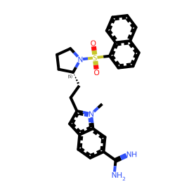 Cn1c(CC[C@@H]2CCCN2S(=O)(=O)c2cccc3ccccc23)cc2ccc(C(=N)N)cc21